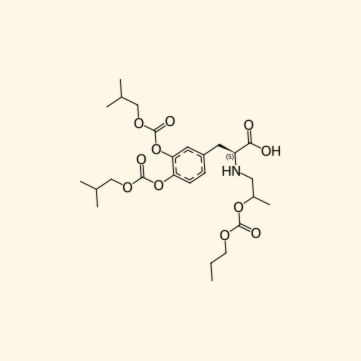 CCCOC(=O)OC(C)CN[C@@H](Cc1ccc(OC(=O)OCC(C)C)c(OC(=O)OCC(C)C)c1)C(=O)O